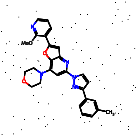 COc1ncccc1-c1cc2nc(-n3ccc(-c4cccc(C)c4)n3)cc(N3CCOCC3)c2o1